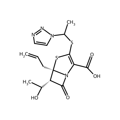 C=CC[C@]12SC(SC(C)n3ccnn3)=C(C(=O)O)N1C(=O)[C@@H]2C(C)O